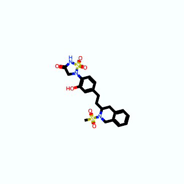 CS(=O)(=O)N1Cc2ccccc2CC1CCc1ccc(N2CC(=O)NS2(=O)=O)c(O)c1